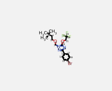 C[Si](C)(C)CCOCn1nc(-c2ccc(Br)cc2)nc1OCC(F)(F)F